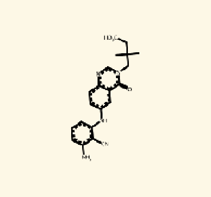 CC(C)(CC(=O)O)Cn1cnc2ccc(Nc3cccc(N)c3C#N)cc2c1=O